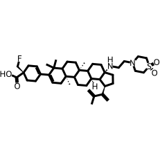 C=C(C)C(=C)[C@@H]1CC[C@]2(NCCN3CCS(=O)(=O)CC3)CCC3[C@H](CCC4[C@@]3(C)CCC3C(C)(C)C(C5=CC[C@@](CF)(C(=O)O)CC5)=CC[C@@]34C)C12